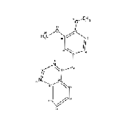 COc1ccc(Cc2ncnc3ccccc23)cc1OC